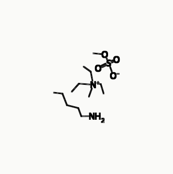 CCCCCN.CC[N+](C)(CC)CC.COS(=O)(=O)[O-]